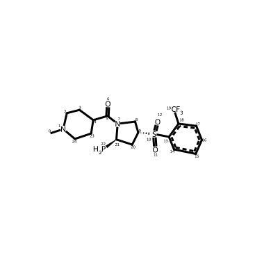 CN1CCC(C(=O)N2C[C@H](S(=O)(=O)c3ccccc3C(F)(F)F)C[C@H]2P)CC1